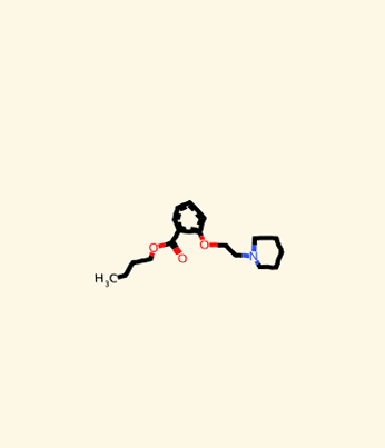 CCCCOC(=O)c1ccccc1OCCN1CCCCC1